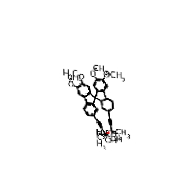 COc1cc2c(cc1OC)C1(c3cc(C#CC(C)(C)O)ccc3-2)c2cc(C#CC(C)(C)O)ccc2-c2cc(OC)c(OC)cc21